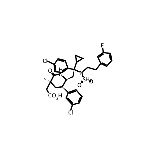 C[C@@]1(CC(=O)O)C[C@H](c2cccc(Cl)c2)[C@H](C[C@@](c2ccc(Cl)cc2)(C2CC2)N(CCc2cccc(F)c2)[SH](=O)=O)NC1=O